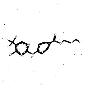 CCCCOC(=O)c1ccc(Nc2ncc(C(F)(F)F)c(Cl)n2)cc1